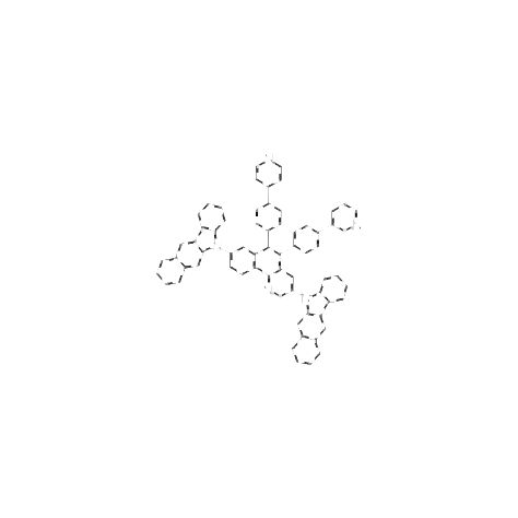 c1cncc(-c2ccc(-c3c(-c4ccc(-c5ccncc5)cc4)c4cc(-n5c6ccccc6c6cc7ccccc7cc65)ccc4c4ncc(-n5c6ccccc6c6cc7ccccc7cc65)cc34)cc2)c1